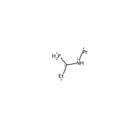 CCC(P)NC(C)C